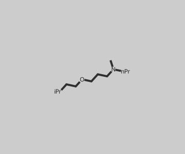 CCCN(C)CCCOCCC(C)C